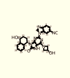 [C-]#[N+]c1ccc2ncn(-c3nc(N4CC(O)C4)c4[nH]c(=O)n([C@@H]5CC[C@@H](O)c6ccccc65)c4n3)c2c1